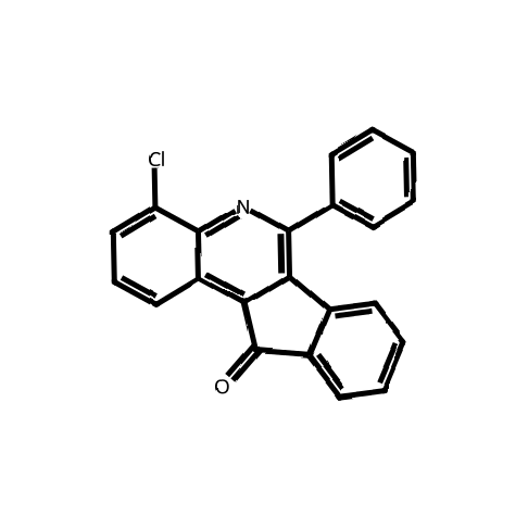 O=C1c2ccccc2-c2c(-c3ccccc3)nc3c(Cl)cccc3c21